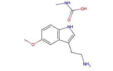 CNC(=O)O.COc1ccc2[nH]cc(CCN)c2c1